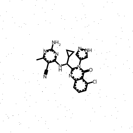 Cc1nc(N)nc(NC(c2nc3cccc(Cl)c3c(=O)n2-c2cn[nH]c2)C2CC2)c1C#N